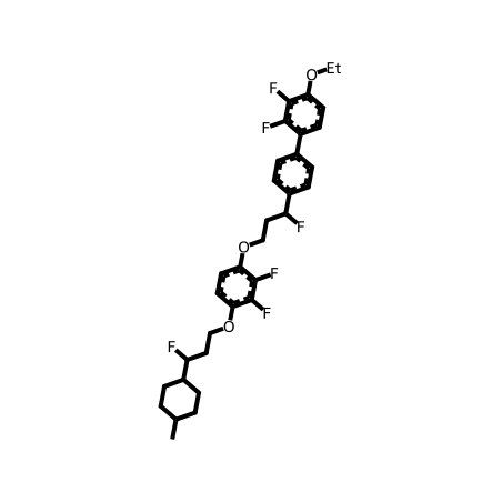 CCOc1ccc(-c2ccc(C(F)CCOc3ccc(OCCC(F)C4CCC(C)CC4)c(F)c3F)cc2)c(F)c1F